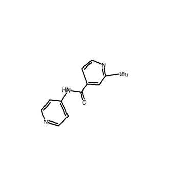 CC(C)(C)c1cc(C(=O)Nc2ccncc2)ccn1